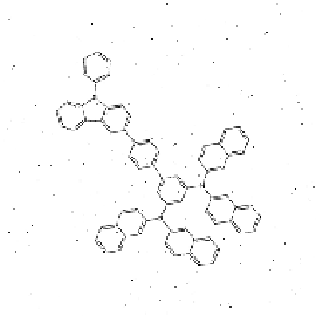 c1ccc(-n2c3ccccc3c3cc(-c4ccc(-c5cc(N(c6ccc7ccccc7c6)c6ccc7ccccc7c6)cc(N(c6ccc7ccccc7c6)c6ccc7ccccc7c6)c5)cc4)ccc32)cc1